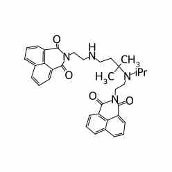 CC(C)N(CCN1C(=O)c2cccc3cccc(c23)C1=O)C(C)(C)CCNCCN1C(=O)c2cccc3cccc(c23)C1=O